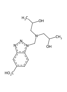 CC(O)CN(CC(C)O)Cn1nnc2cc(C(=O)O)ccc21